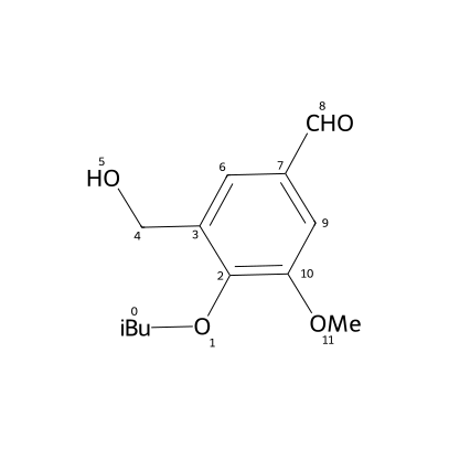 CCC(C)Oc1c(CO)cc(C=O)cc1OC